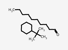 CC(C)(C)C1[CH]CCCC1.CCCCCCCCCC=O